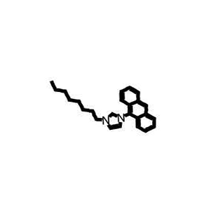 CCCCCCCCN1C=CN(c2c3ccccc3cc3ccccc23)C1